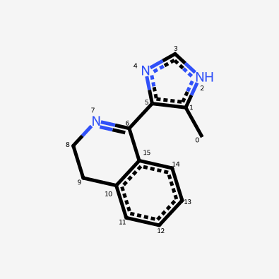 Cc1[nH]cnc1C1=NCCc2ccccc21